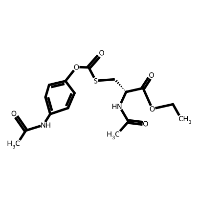 CCOC(=O)[C@@H](CSC(=O)Oc1ccc(NC(C)=O)cc1)NC(C)=O